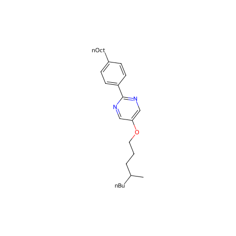 CCCCCCCCc1ccc(-c2ncc(OCCCC(C)CCCC)cn2)cc1